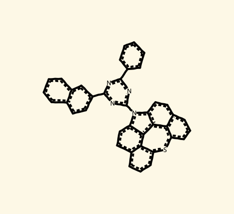 c1ccc(-c2nc(-c3ccc4ccccc4c3)nc(-n3c4ccc5cccc6sc7cccc8ccc3c(c87)c4c56)n2)cc1